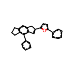 C1=C(c2ccc(-c3ccccc3)o2)Cc2cc3c(c(-c4ccccc4)c21)CCC3